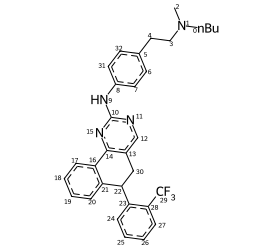 CCCCN(C)CCc1ccc(Nc2ncc3c(n2)-c2ccccc2C(c2ccccc2C(F)(F)F)C3)cc1